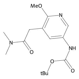 COc1ncc(NC(=O)OC(C)(C)C)cc1CC(=O)N(C)C